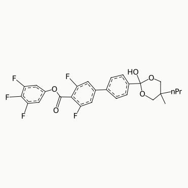 CCCC1(C)COC(O)(c2ccc(-c3cc(F)c(C(=O)Oc4cc(F)c(F)c(F)c4)c(F)c3)cc2)OC1